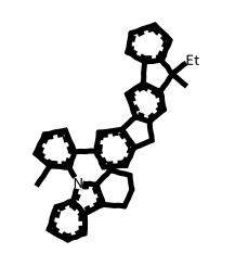 CCC1(C)c2ccccc2-c2cc3c(cc21)Cc1ccc(-c2cccc(C)c2-n2c4c(c5ccccc52)CCCC4)cc1-3